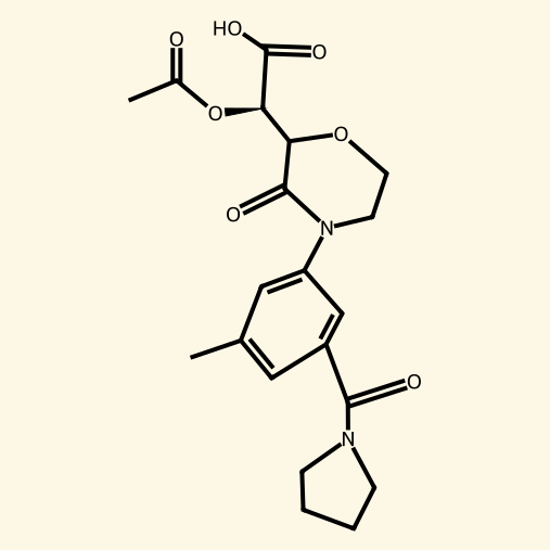 CC(=O)O[C@@H](C(=O)O)C1OCCN(c2cc(C)cc(C(=O)N3CCCC3)c2)C1=O